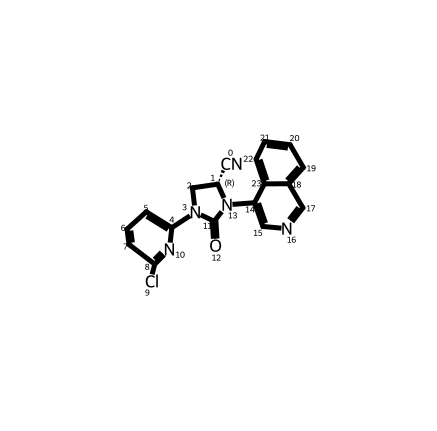 N#C[C@H]1CN(c2cccc(Cl)n2)C(=O)N1c1cncc2ccccc12